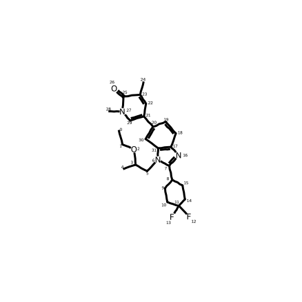 CCOC(C)Cn1c(C2CCC(F)(F)CC2)nc2ccc(-c3cc(C)c(=O)n(C)c3)cc21